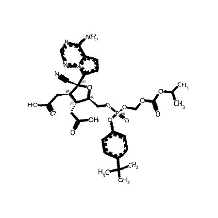 CC(C)OC(=O)OCO[P@](=O)(OC[C@@H]1O[C@@](C#N)(c2ccc3c(N)ncnn23)[C@H](CC(=O)O)[C@H]1CC(=O)O)Oc1ccc(C(C)(C)C)cc1